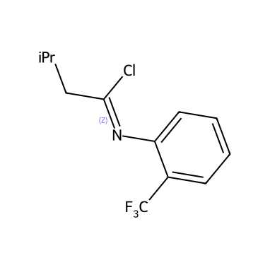 CC(C)C/C(Cl)=N/c1ccccc1C(F)(F)F